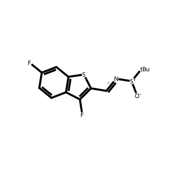 CC(C)(C)[S+]([O-])/N=C/c1sc2cc(F)ccc2c1F